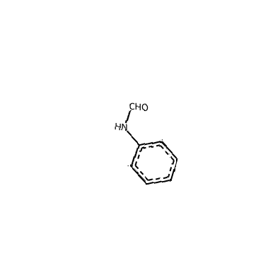 O=CNc1[c]ccc[c]1